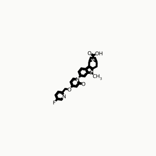 Cn1c2c(c3ccc(-n4ccc(OCc5ccc(F)cn5)cc4=O)cc31)C1CCC(C2)N1C(=O)O